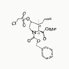 C=CC[C@]1(C)C(OS(=O)(=O)CCl)CN(C(=O)OCc2ccccc2)[C@@H]1C(=O)OC